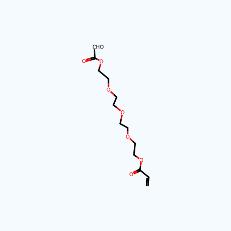 C=CC(=O)OCCOCCOCCOCCOC(=O)C=O